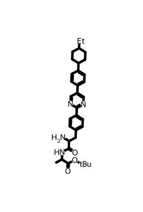 CCC1CCC(c2ccc(-c3cnc(-c4ccc(CC(N)C(=O)NC(C)C(=O)OC(C)(C)C)cc4)nc3)cc2)CC1